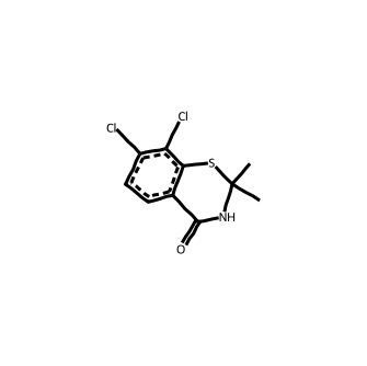 CC1(C)NC(=O)c2ccc(Cl)c(Cl)c2S1